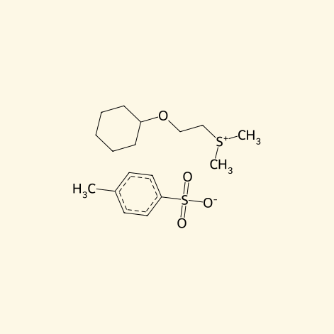 C[S+](C)CCOC1CCCCC1.Cc1ccc(S(=O)(=O)[O-])cc1